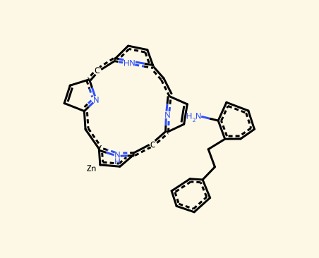 C1=Cc2cc3ccc(cc4nc(cc5ccc(cc1n2)[nH]5)C=C4)[nH]3.Nc1ccccc1CCc1ccccc1.[Zn]